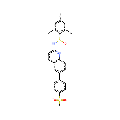 Cc1cc(C)c([S+]([O-])Nc2ccc3cc(-c4ccc(S(C)(=O)=O)cc4)ccc3n2)c(C)c1